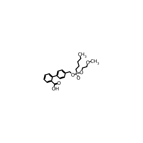 CCCCCP(=O)(OCCOC)OCc1ccc(-c2ccccc2C(=O)O)cc1